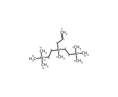 C=CC[N+](C)(CC[N+](C)(C)C)CC[N+](C)(C)C